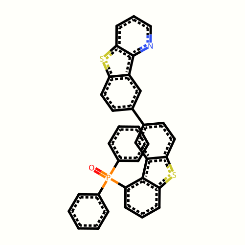 O=P(c1ccccc1)(c1ccccc1)c1cccc2sc3ccc(-c4ccc5sc6cccnc6c5c4)cc3c12